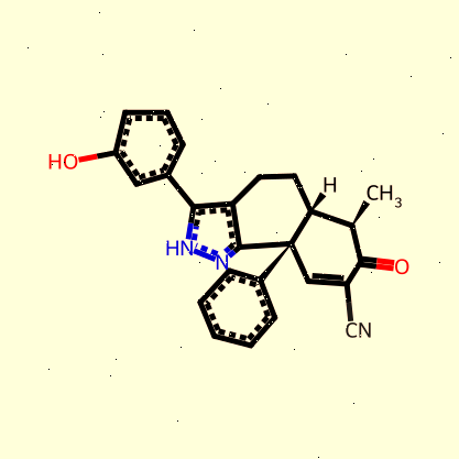 C[C@H]1C(=O)C(C#N)=C[C@]2(c3ccccc3)c3n[nH]c(-c4cccc(O)c4)c3CC[C@H]12